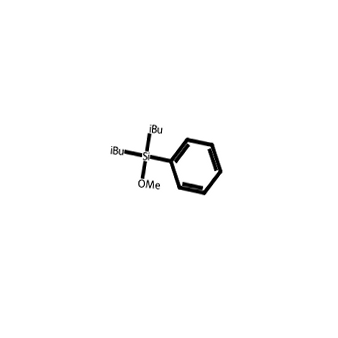 CCC(C)[Si](OC)(c1ccccc1)C(C)CC